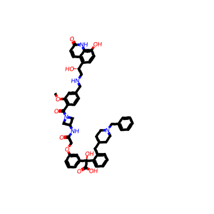 COc1cc(CNC[C@H](O)c2ccc(O)c3[nH]c(=O)ccc23)ccc1C(=O)N1CC(NC(=O)COc2cccc([C@@](O)(C(=O)O)c3ccccc3CC3CCN(Cc4ccccc4)CC3)c2)C1